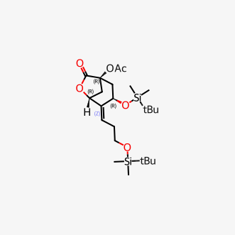 CC(=O)O[C@@]12C[C@@H](OC1=O)/C(=C/CCO[Si](C)(C)C(C)(C)C)[C@H](O[Si](C)(C)C(C)(C)C)C2